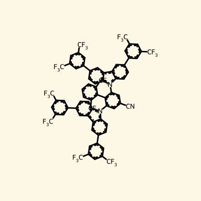 N#Cc1cc(-n2c3ccc(-c4cc(C(F)(F)F)cc(C(F)(F)F)c4)cc3c3cc(-c4cc(C(F)(F)F)cc(C(F)(F)F)c4)ccc32)c(-c2c(C(F)(F)F)cccc2C(F)(F)F)c(-n2c3ccc(-c4cc(C(F)(F)F)cc(C(F)(F)F)c4)cc3c3cc(-c4cc(C(F)(F)F)cc(C(F)(F)F)c4)ccc32)c1